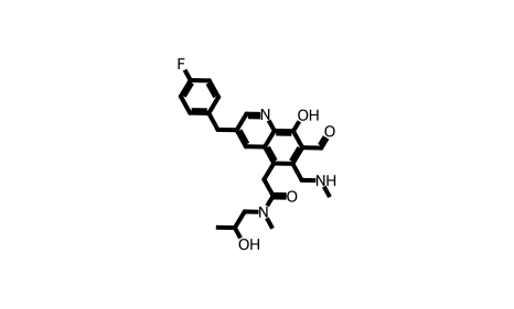 CNCc1c(C=O)c(O)c2ncc(Cc3ccc(F)cc3)cc2c1CC(=O)N(C)CC(C)O